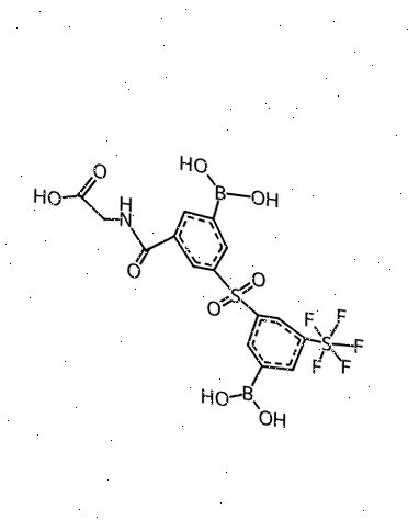 O=C(O)CNC(=O)c1cc(B(O)O)cc(S(=O)(=O)c2cc(B(O)O)cc(S(F)(F)(F)(F)F)c2)c1